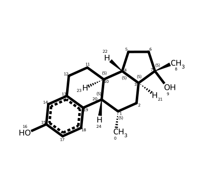 C[C@H]1C[C@H]2[C@@H](CC[C@]2(C)O)[C@@H]2CCc3cc(O)ccc3[C@H]21